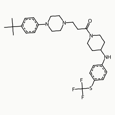 CC(C)(C)c1ccc(N2CCN(CCC(=O)N3CCC(Nc4ccc(SC(F)(F)F)cc4)CC3)CC2)cc1